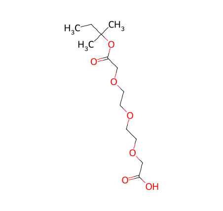 CCC(C)(C)OC(=O)COCCOCCOCC(=O)O